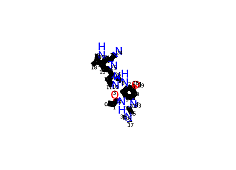 C=CC(=O)Nc1cc(Nc2nccc(-c3cc4c(C)c[nH]c4c(C#N)n3)n2)c(OC)cc1N(C)CCN(C)C